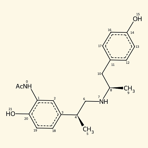 CC(=O)Nc1cc([C@H](C)CN[C@H](C)Cc2ccc(O)cc2)ccc1O